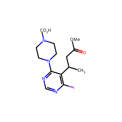 COC(=O)CC(C)c1c(I)ncnc1N1CCN(C(=O)O)CC1